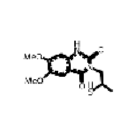 COc1cc2[nH]c(=O)n(CC(C)S)c(=O)c2cc1OC